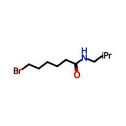 CC(C)CNC(=O)CCCCCBr